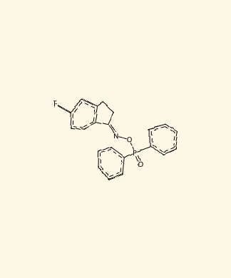 O=P(ON=C1CCc2cc(F)ccc21)(c1ccccc1)c1ccccc1